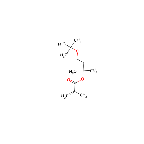 C=C(C)C(=O)OC(C)(C)CCOC(C)(C)C